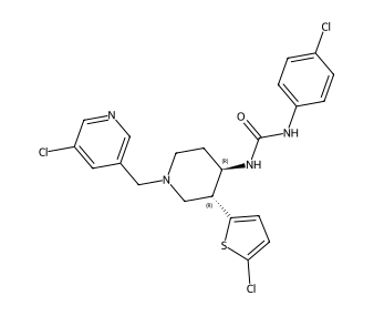 O=C(Nc1ccc(Cl)cc1)N[C@@H]1CCN(Cc2cncc(Cl)c2)C[C@H]1c1ccc(Cl)s1